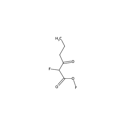 CCCC(=O)C(F)C(=O)OF